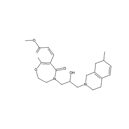 C=C(/C=C\C1=C(C)OCCN(CC(O)CN2CCC3=C(CC(C)C=C3)C2)C1=O)OC